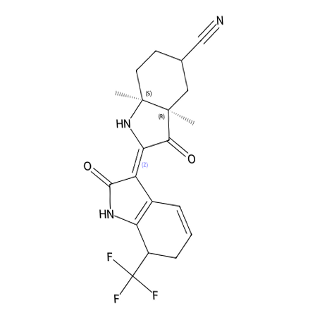 C[C@@]12CC(C#N)CC[C@]1(C)N/C(=C1\C(=O)NC3=C1C=CCC3C(F)(F)F)C2=O